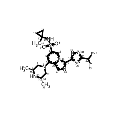 C[C@H]1CN(c2cc(S(=O)(=O)NC3(C)CC3)cn3c(-c4nnc(C(F)F)[se]4)ncc23)C[C@H](C)N1